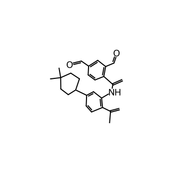 C=C(Nc1cc(C2CCC(C)(C)CC2)ccc1C(=C)C)c1ccc(C=O)cc1C=O